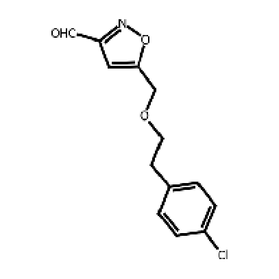 O=Cc1cc(COCCc2ccc(Cl)cc2)on1